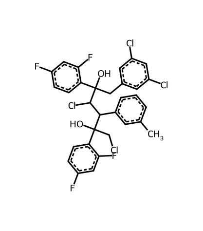 Cc1cccc(C(C(Cl)C(O)(Cc2cc(Cl)cc(Cl)c2)c2ccc(F)cc2F)C(O)(CCl)c2ccc(F)cc2F)c1